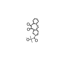 COC(C)(C)C(=O)c1ccc2sc3ccccc3c(=O)c(=O)c2c1